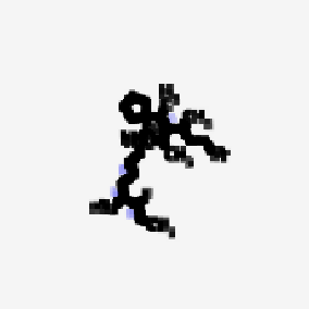 C=C(C)/C(C(=C)CCC(C)C)=C(/C)C1(NNC/C=C/C=C(CCCC)\C(F)=C\C)CCCC1